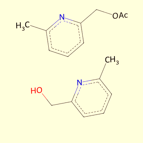 CC(=O)OCc1cccc(C)n1.Cc1cccc(CO)n1